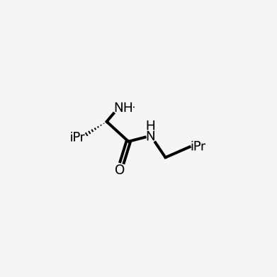 CC(C)CNC(=O)[C@@H]([NH])C(C)C